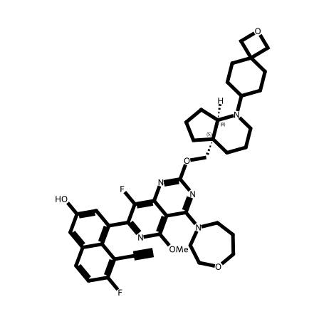 C#Cc1c(F)ccc2cc(O)cc(-c3nc(OC)c4c(N5CCCOCC5)nc(OC[C@]56CCC[C@H]5N(C5CCC7(CC5)COC7)CCC6)nc4c3F)c12